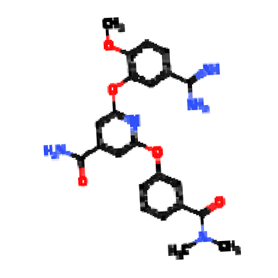 COc1ccc(C(=N)N)cc1Oc1cc(C(N)=O)cc(Oc2cccc(C(=O)N(C)C)c2)n1